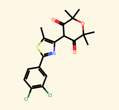 Cc1sc(-c2ccc(Cl)c(Cl)c2)nc1C1C(=O)C(C)(C)OC(C)(C)C1=O